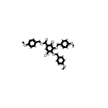 COc1ccc(COC(=O)c2cc(Cl)c(OCc3ccc(OC)cc3)c(OCc3ccc(OC)cc3)c2Cl)cc1